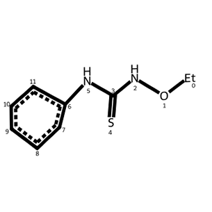 CCONC(=S)Nc1ccccc1